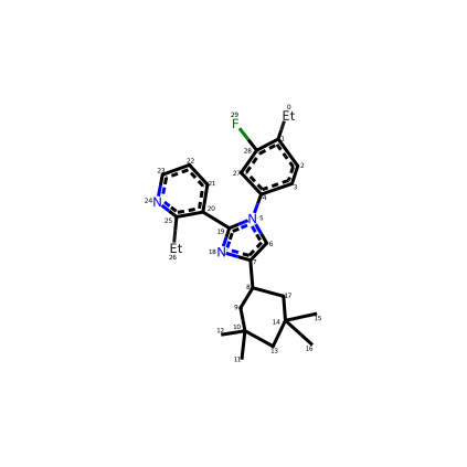 CCc1ccc(-n2cc(C3CC(C)(C)CC(C)(C)C3)nc2-c2cccnc2CC)cc1F